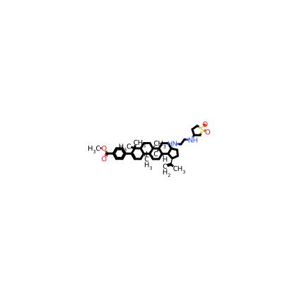 C=C(C)[C@@H]1CC[C@]2(NCCNC3CCS(=O)(=O)C3)CC[C@]3(C)[C@H](CCC4[C@@]5(C)CC=C(c6ccc(C(=O)OC)cc6)C(C)(C)C5CC[C@]43C)C12